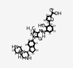 C1CNCCN1.C1CNCCN1.CC1=NN(c2ccc3c(c2)CCC3)C(=O)C1=NNc1cccc(-c2ccc(C(=O)O)o2)c1O